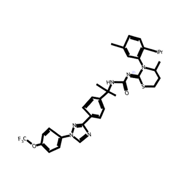 Cc1ccc(C(C)C)c(N2/C(=N/C(=O)NC(C)(C)c3ccc(-c4ncn(-c5ccc(OC(F)(F)F)cc5)n4)cc3)SCCC2C)c1